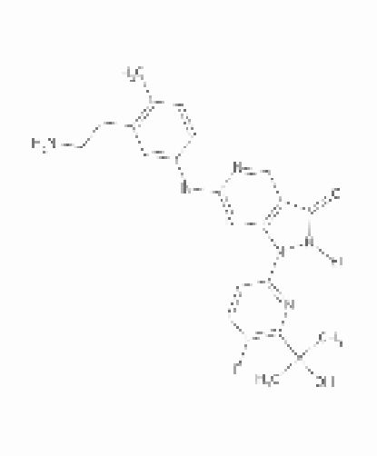 CCn1c(=O)c2cnc(Nc3ccc(C)c(CCN)c3)nc2n1-c1ccc(F)c(C(C)(C)O)n1